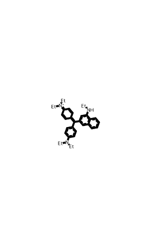 CCNc1cc(C(=C2C=CC(=[N+](CC)CC)C=C2)c2ccc(N(CC)CC)cc2)cc2ccccc12